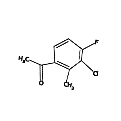 CC(=O)c1ccc(F)c(Cl)c1C